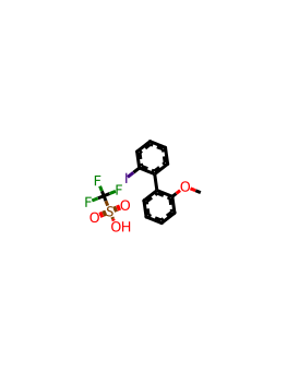 COc1ccccc1-c1ccccc1I.O=S(=O)(O)C(F)(F)F